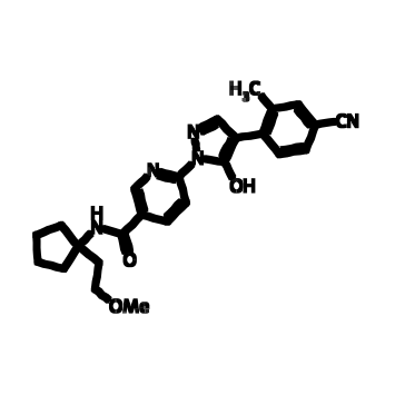 COCCC1(NC(=O)c2ccc(-n3ncc(-c4ccc(C#N)cc4C)c3O)nc2)CCCC1